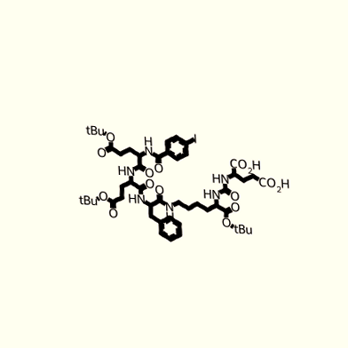 CC(C)(C)OC(=O)CCC(NC(=O)c1ccc(I)cc1)C(=O)NC(CCC(=O)OC(C)(C)C)C(=O)NC(Cc1ccccc1)C(=O)NCCCCC(NC(=O)NC(CCC(=O)O)C(=O)O)C(=O)OC(C)(C)C